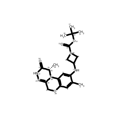 Cc1cc2c(cc1NC1CN(C(=O)OC(C)(C)C)C1)N1C(=NNC(=O)[C@@H]1C)CO2